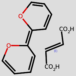 C1=COC(=C2C=CC=CO2)C=C1.O=C(O)/C=C/C(=O)O